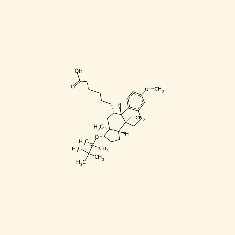 C=C[C@@]12CCc3cc(OC)ccc3[C@H]1[C@@H](CCCCCC(=O)O)C[C@]1(C)[C@@H](O[Si](C)(C)C(C)(C)C)CC[C@H]12